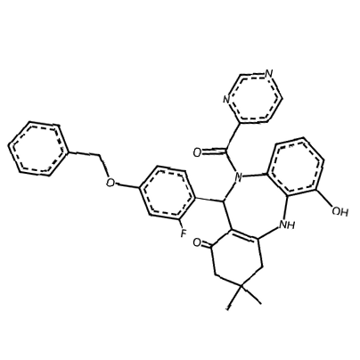 CC1(C)CC(=O)C2=C(C1)Nc1c(O)cccc1N(C(=O)c1ccncn1)C2c1ccc(OCc2ccccc2)cc1F